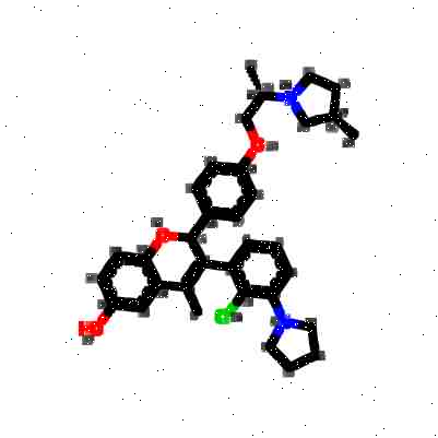 CC1=C(c2cccc(N3CCCC3)c2Cl)C(c2ccc(OC[C@H](C)N3CC[C@@H](C)C3)cc2)Oc2ccc(O)cc21